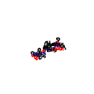 CC[C@H](C)[C@@H]([C@@H](CC(=O)N1CCC[C@H]1[C@H](OC)[C@@H](C)C(=O)N[C@@H](Cc1ccccc1)C(=O)N1CCCCO1)OC)N(C)[C@H](C(=O)NC(=O)[C@H]([C@@H](C)O)N(C)C(=O)OCc1ccccc1)C(C)C